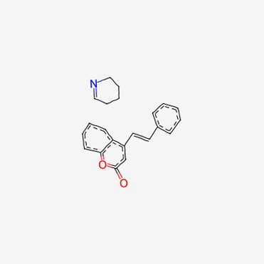 C1=NCCCC1.O=c1cc(C=Cc2ccccc2)c2ccccc2o1